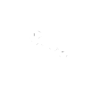 CCS(=O)(=O)c1ccccc1C(=O)N1CCN(c2nc3c(F)cc(F)cc3s2)CC1